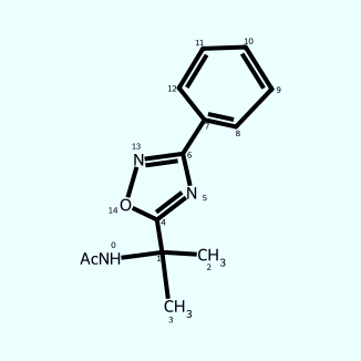 CC(=O)NC(C)(C)c1nc(-c2ccccc2)no1